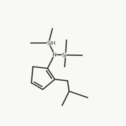 CC(C)CC1=C(N([SiH](C)C)[Si](C)(C)C)CC=C1